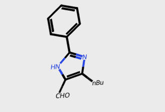 CCCCc1nc(-c2ccccc2)[nH]c1C=O